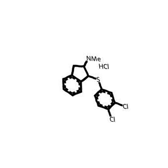 CNC1Cc2ccccc2C1Sc1ccc(Cl)c(Cl)c1.Cl